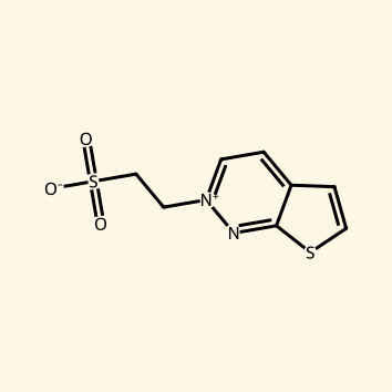 O=S(=O)([O-])CC[n+]1ccc2ccsc2n1